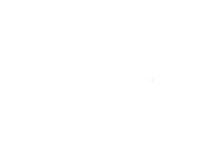 OC=CCCCCBr